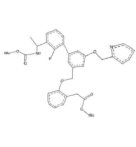 CC(NC(=O)OC(C)(C)C)c1cccc(-c2cc(COc3ccccc3CC(=O)OC(C)(C)C)cc(OCc3ccccn3)c2)c1F